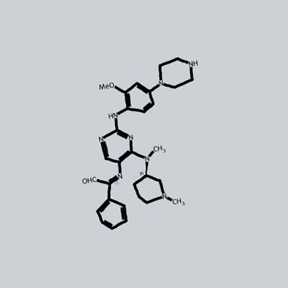 COc1cc(N2CCNCC2)ccc1Nc1ncc(/N=C(\C=O)c2ccccc2)c(N(C)[C@@H]2CCCN(C)C2)n1